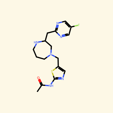 CC(=O)Nc1ncc(CN2CCCNC(Cc3ncc(F)cn3)C2)s1